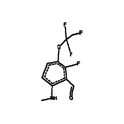 CNc1ccc(OC(F)(F)F)c(F)c1C=O